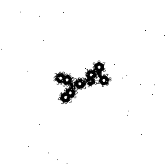 c1ccc(-n2c3ccccc3c3ccc4c(ccn4-c4ccc(N(c5ccc6ccccc6c5)c5ccc6ccccc6c5)cc4)c32)cc1